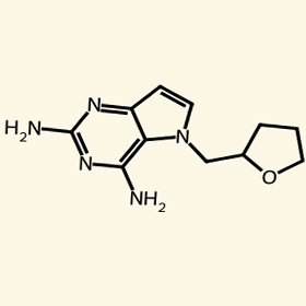 Nc1nc(N)c2c(ccn2CC2CCCO2)n1